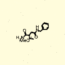 CON(C)C(CC(=O)NCc1ccccc1)C(N)=O